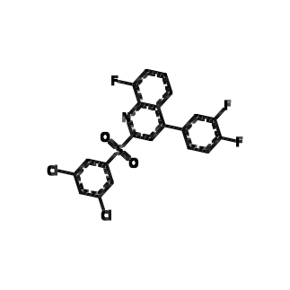 O=S(=O)(c1cc(Cl)cc(Cl)c1)c1cc(-c2ccc(F)c(F)c2)c2cccc(F)c2n1